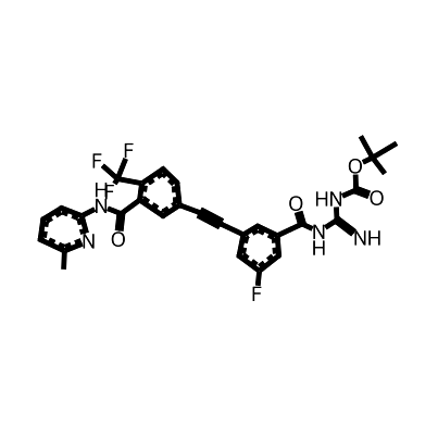 Cc1cccc(NC(=O)c2cc(C#Cc3cc(F)cc(C(=O)NC(=N)NC(=O)OC(C)(C)C)c3)ccc2C(F)(F)F)n1